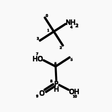 CC(C)(C)N.CC(O)[PH](=O)O